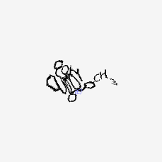 Cc1ccc(/C=C/C(=O)N(Cc2ccccc2)[C@@H](Cc2ccccc2)C(=O)O)cc1